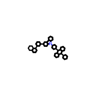 c1ccc(-c2c3ccccc3c(-c3ccc(-n4c5ccccc5c5cc(-c6cccc(-c7cccc8c7CCCC8)c6)ccc54)cc3)c3ccccc23)cc1